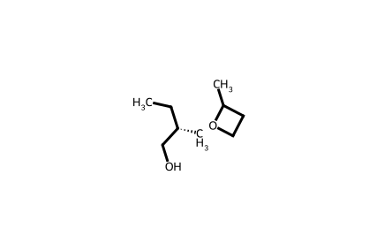 CC1CCO1.CC[C@H](C)CO